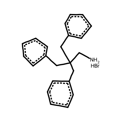 Br.NCC(Cc1ccccc1)(Cc1ccccc1)Cc1ccccc1